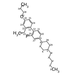 CCCCCC1CCC(c2ccc(-c3ccc(OCCC)cc3CC)c(F)c2)CC1